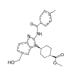 COC(=O)[C@H]1CC[C@@H](n2c(NC(=O)c3ccc(C)cc3)nc3ccc(CO)cc32)CC1